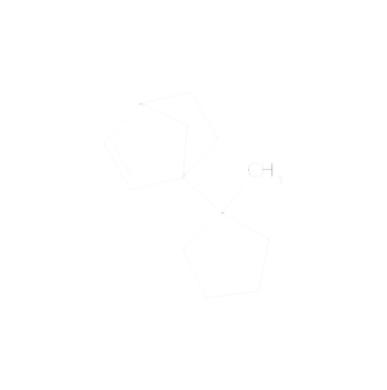 CC1(C23C=CC(CC2)C3)CCCC1